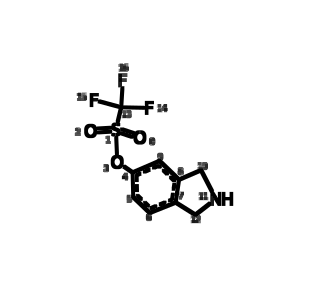 O=S(=O)(Oc1ccc2c(c1)CNC2)C(F)(F)F